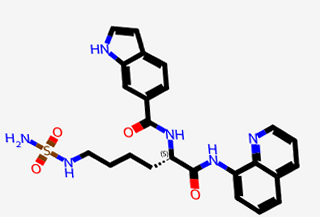 NS(=O)(=O)NCCCC[C@H](NC(=O)c1ccc2cc[nH]c2c1)C(=O)Nc1cccc2cccnc12